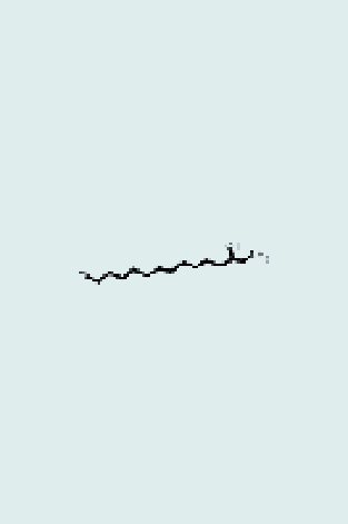 CCC(O)CCCCCCCCCCCCl